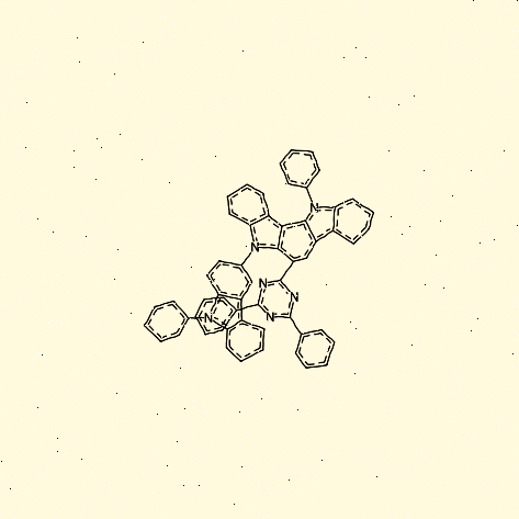 c1ccc(-c2nc(-c3ccccc3)nc(-c3cc4c5ccccc5n(-c5ccccc5)c4c4c5ccccc5n(-c5ccc6c(c5)c5ccccc5n6-c5ccccc5)c34)n2)cc1